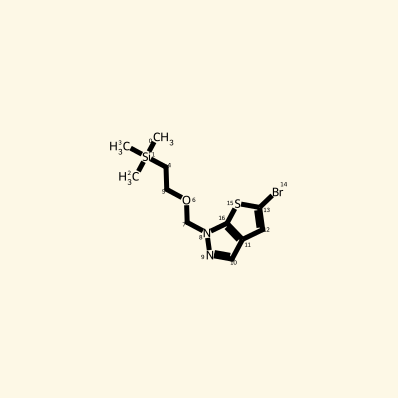 C[Si](C)(C)CCOCn1ncc2cc(Br)sc21